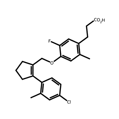 Cc1cc(OCC2=C(c3ccc(Cl)cc3C)CCC2)c(F)cc1CCC(=O)O